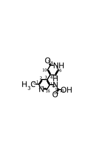 Cc1cc(-c2cc[nH]c(=O)c2)c(NC(=O)O)cn1